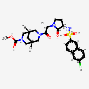 C[C@@H](C(=O)N1C[C@@H]2C[C@@H](CN(C(=O)OC(C)(C)C)C2)C1)N1CC[C@H](NS(=O)(=O)c2ccc3cc(Cl)ccc3c2)C1=O